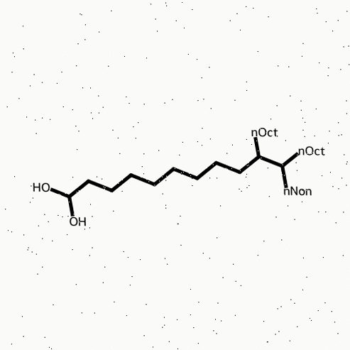 CCCCCCCCCC(CCCCCCCC)C(CCCCCCCC)CCCCCCCCC(O)O